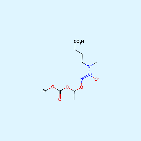 CC(C)OC(=O)OC(C)O/N=[N+](\[O-])N(C)CCCC(=O)O